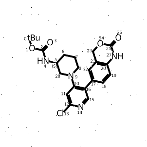 CC(C)(C)OC(=O)N[C@H]1CCCN(c2cc(Cl)ncc2-c2ccc3c(c2)COC(=O)N3)C1